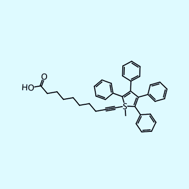 CS1(C#CCCCCCCCC(=O)O)C(c2ccccc2)=C(c2ccccc2)C(c2ccccc2)=C1c1ccccc1